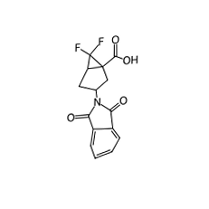 O=C1c2ccccc2C(=O)N1C1CC2C(F)(F)C2(C(=O)O)C1